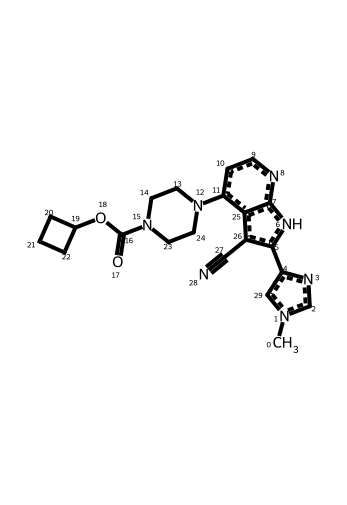 Cn1cnc(-c2[nH]c3nccc(N4CCN(C(=O)OC5CCC5)CC4)c3c2C#N)c1